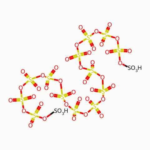 O=S(=O)(O)OS(=O)(=O)OS(=O)(=O)OS(=O)(=O)OS(=O)(=O)OS(=O)(=O)OS(=O)(=O)OS(=O)(=O)OS(=O)(=O)OS(=O)(=O)OS(=O)(=O)OS(=O)(=O)OS(=O)(=O)OS(=O)(=O)OS(=O)(=O)O